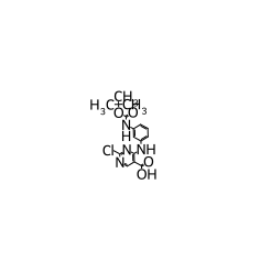 CC(C)(C)OC(=O)Nc1cccc(Nc2nc(Cl)ncc2C(=O)O)c1